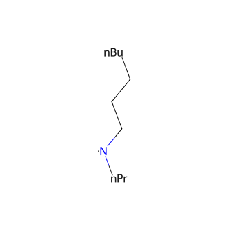 CCCCCCC[N]CCC